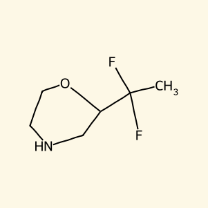 CC(F)(F)C1CNCCO1